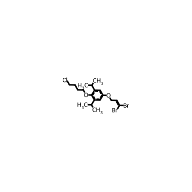 CC(C)c1cc(OCC=C(Br)Br)cc(C(C)C)c1OCCCCCl